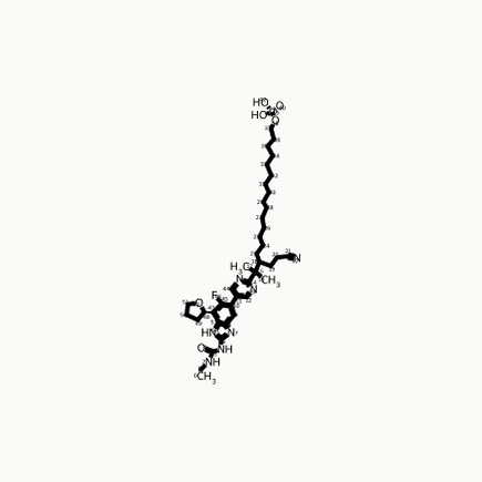 CCNC(=O)Nc1nc2cc(-c3cnc(C(C)(C)C(CCC#N)CCCCCCCCCCCCCCCOP(=O)(O)O)nc3)c(F)c([C@H]3CCCO3)c2[nH]1